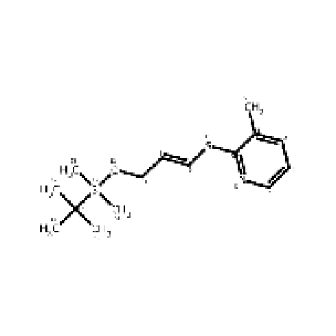 Cc1cccnc1SC=CCO[Si](C)(C)C(C)(C)C